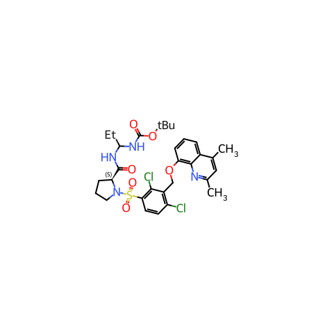 CCC(NC(=O)OC(C)(C)C)NC(=O)[C@@H]1CCCN1S(=O)(=O)c1ccc(Cl)c(COc2cccc3c(C)cc(C)nc23)c1Cl